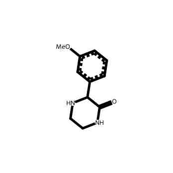 COc1cccc(C2NCCNC2=O)c1